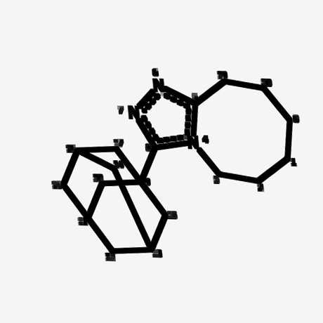 C1CCCn2c(nnc2C23CC4CC(CC(C4)C2)C3)CC1